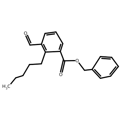 CCCCCc1c(C=O)cccc1C(=O)OCc1ccccc1